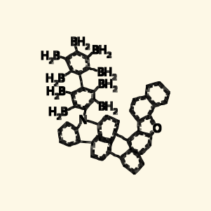 Bc1c(B)c(B)c(-c2c(B)c(B)c(N(c3ccc(-c4cccc5oc6c7ccccc7ccc6c45)cc3)c3ccccc3-c3ccc(-c4ccccc4)cc3)c(B)c2B)c(B)c1B